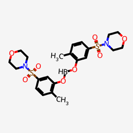 Cc1ccc(S(=O)(=O)N2CCOCC2)cc1OBOc1cc(S(=O)(=O)N2CCOCC2)ccc1C